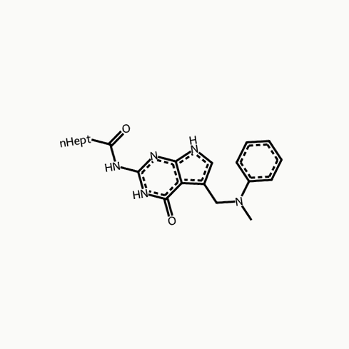 CCCCCCCC(=O)Nc1nc2[nH]cc(CN(C)c3ccccc3)c2c(=O)[nH]1